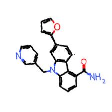 NC(=O)c1cccc2c1c1[c]cc(-c3ccco3)cc1n2Cc1cccnc1